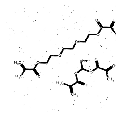 C=C(C)C(=O)OC(CCCCC)OC(=O)C(=C)C.C=C(C)C(=O)OCCOCCOCCOC(=O)C(=C)C